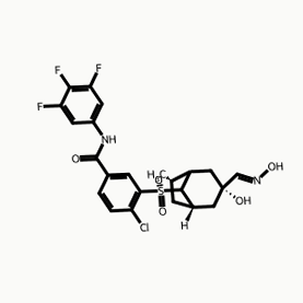 C[C@H]1C[C@H]2C[C@](O)(/C=N/O)CC1C2S(=O)(=O)c1cc(C(=O)Nc2cc(F)c(F)c(F)c2)ccc1Cl